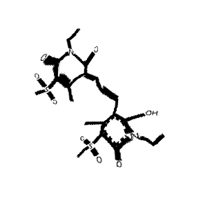 CCN1C(=O)C(=CC=Cc2c(C)c(S(C)(=O)=O)c(=O)n(CC)c2O)C(C)=C(S(C)(=O)=O)C1=O